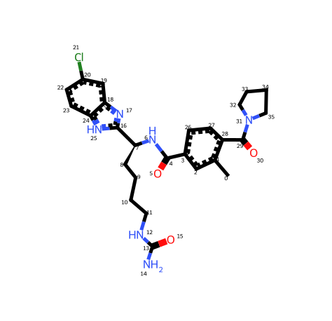 Cc1cc(C(=O)N[C@@H](CCCCNC(N)=O)c2nc3cc(Cl)ccc3[nH]2)ccc1C(=O)N1CCCC1